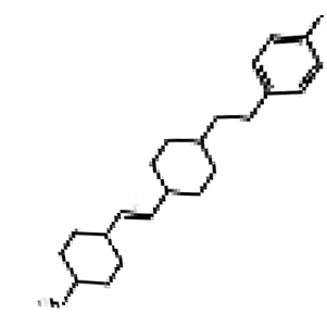 CCCCCCC1CCC(/C=C/C2CCC(CCc3ccc(F)cc3)CC2)CC1